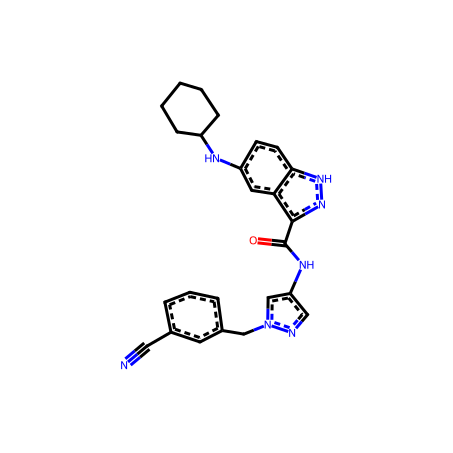 N#Cc1cccc(Cn2cc(NC(=O)c3n[nH]c4ccc(NC5CCCCC5)cc34)cn2)c1